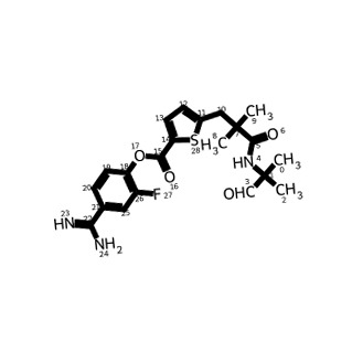 CC(C)(C=O)NC(=O)C(C)(C)Cc1ccc(C(=O)Oc2ccc(C(=N)N)cc2F)s1